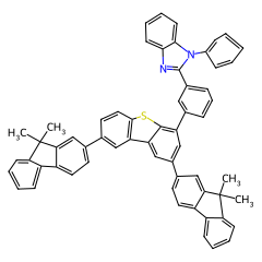 CC1(C)c2ccccc2-c2ccc(-c3ccc4sc5c(-c6cccc(-c7nc8ccccc8n7-c7ccccc7)c6)cc(-c6ccc7c(c6)C(C)(C)c6ccccc6-7)cc5c4c3)cc21